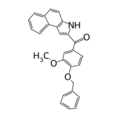 COc1cc(C(=O)c2cc3c(ccc4ccccc43)[nH]2)ccc1OCc1ccccc1